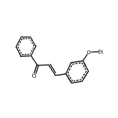 CCOc1cccc(C=CC(=O)c2ccccc2)c1